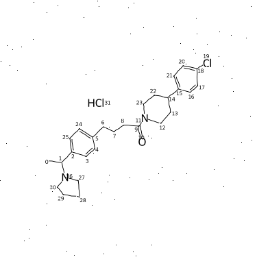 CC(c1ccc(CCCC(=O)N2CCC(c3ccc(Cl)cc3)CC2)cc1)N1CCCC1.Cl